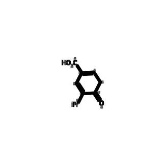 CC(C)C1=CC(C(=O)O)=CCC1=O